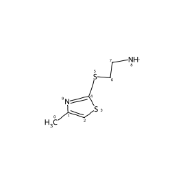 Cc1csc(SCC[NH])n1